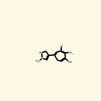 CC1=C(Cl)C=C(C2=CN(C)NC2)CC=C1O